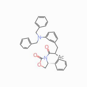 CC(=O)[C@H](Cc1cccc(N(Cc2ccccc2)Cc2ccccc2)c1)C(=O)N1C(=O)OC[C@H]1c1ccccc1